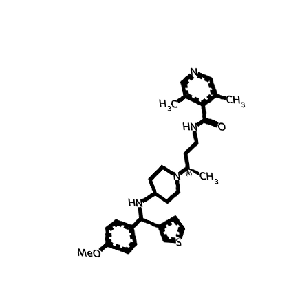 COc1ccc(C(NC2CCN([C@H](C)CCNC(=O)c3c(C)cncc3C)CC2)c2ccsc2)cc1